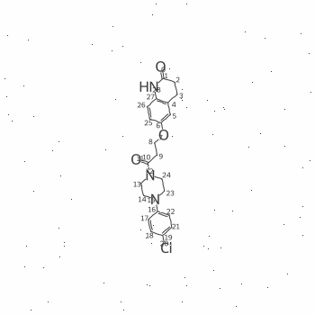 O=C1CCc2cc(OCCC(=O)N3CCN(c4ccc(Cl)cc4)CC3)ccc2N1